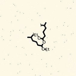 CCOC(CCCC(C)I)OC(CCCC(C)I)OCC